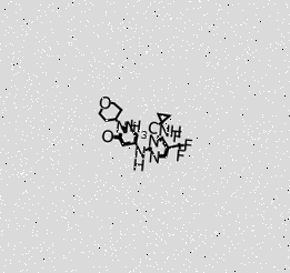 CC1(Nc2nc(Nc3cnn(C4CCOCC4)c(=O)c3)ncc2C(F)(F)F)CC1